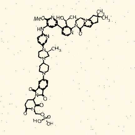 COc1ncc(-c2ccnc(N3CCn4c(cc5c4CC(C)(C)C5)C3=O)c2[C@H](C)O)cc1Nc1ccc(N2CCN(C3CCN(c4ccc5c(c4)C(=O)N(C4CCC(=O)N(COP(=O)(O)O)C4=O)C5=O)CC3)C[C@@H]2C)cn1